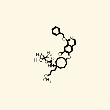 COCCCC1(NC(=O)OC(C)(C)C)CCCC(Oc2cc3ccnc(OCc4ccccc4)c3cc2Cl)CCC1